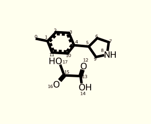 Cc1ccc(C2CCNC2)cc1.O=C(O)C(=O)O